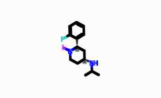 CC(C)N[C@@H]1CCN(I)[C@H](c2ccccc2F)C1